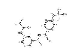 CC(C)C(=O)Nc1cc(C(C)NC(=O)c2ccc(OC(F)(F)F)cc2)ccn1